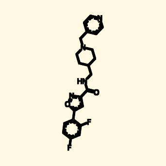 O=C(NCC1CCN(Cc2ccncc2)CC1)c1cc(-c2ccc(F)cc2F)on1